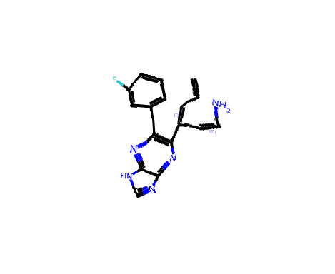 C=C/C=C(\C=C/N)c1nc2nc[nH]c2nc1-c1cccc(F)c1